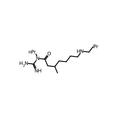 CCCN(C(=N)N)C(=O)C[C](C)CCCCNCC(C)C